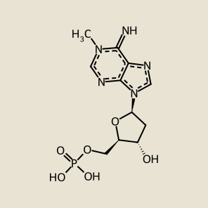 Cn1cnc2c(ncn2[C@H]2C[C@H](O)[C@@H](COP(=O)(O)O)O2)c1=N